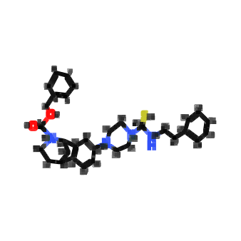 O=C(OCc1ccccc1)N1CCC2CC1c1cc(N3CCN(C(=S)NCCc4ccccc4)CC3)ccc12